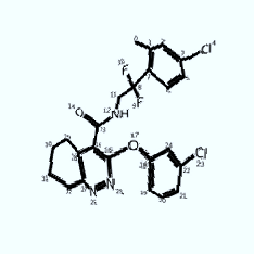 Cc1cc(Cl)ccc1C(F)(F)CNC(=O)c1c(Oc2cccc(Cl)c2)nnc2c1CCCC2